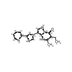 CCc1c(C)[nH]c2c(-n3cnc(-c4ccccn4)c3)cnn2c1=O